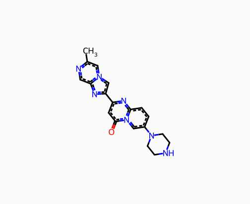 Cc1cn2cc(-c3cc(=O)n4cc(N5CCNCC5)ccc4n3)nc2cn1